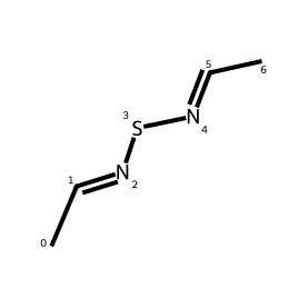 C/C=N/S/N=C/C